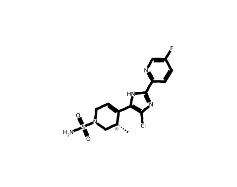 C[C@@H]1CN(S(N)(=O)=O)CC=C1c1[nH]c(-c2ccc(F)cn2)nc1Cl